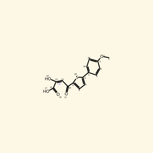 COc1ccc(-c2ccc(C(=O)/C=C(/O)C(=O)O)s2)cc1